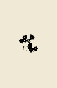 CC1(C)c2cc(-c3nc(-c4ccccc4)nc(-c4cc5ccccc5c5ccccc45)n3)ccc2-c2c1ccc1oc3ccccc3c21